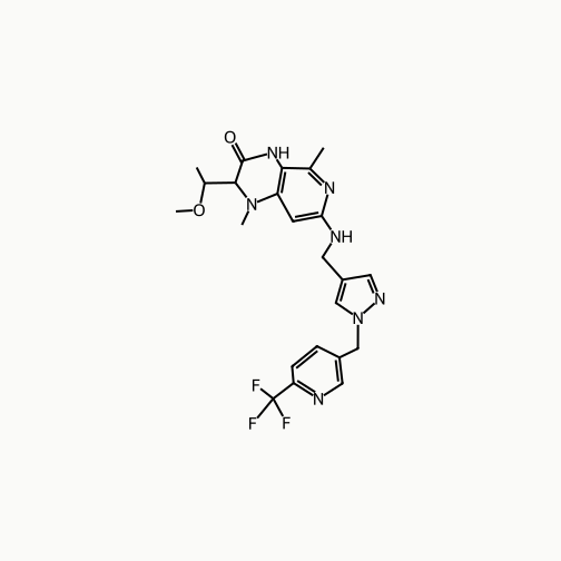 COC(C)C1C(=O)Nc2c(cc(NCc3cnn(Cc4ccc(C(F)(F)F)nc4)c3)nc2C)N1C